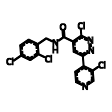 O=C(NCc1ccc(Cl)cc1Cl)c1cc(-c2ccncc2Cl)nnc1Cl